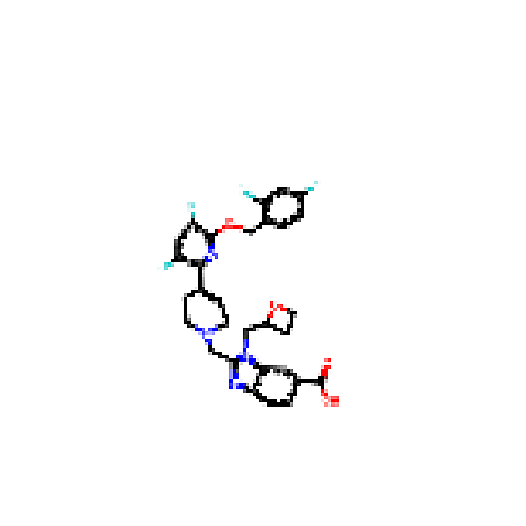 O=C(O)c1ccc2nc(CN3CC=C(c4nc(OCc5ccc(F)cc5F)c(F)cc4F)CC3)n(CC3CCO3)c2c1